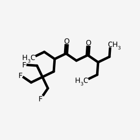 CCC(CC)C(=O)CC(=O)C(CC)CC(CF)(CF)CF